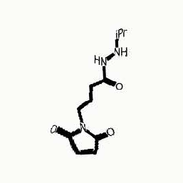 CC(C)NNC(=O)CCCN1C(=O)C=CC1=O